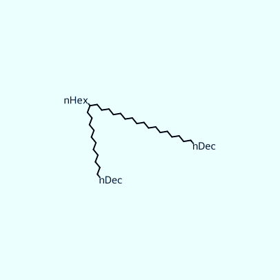 [CH2]CCCCCC(CCCCCCCCCCCCCCCCCCCCC)CCCCCCCCCCCCCCCCCCCCCCCCCCC